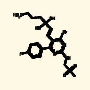 CC(C)c1nc(NCS(C)(=O)=O)nc(-c2ccc(F)cc2)c1/C=C/C(O)(O)CCCC(=O)O